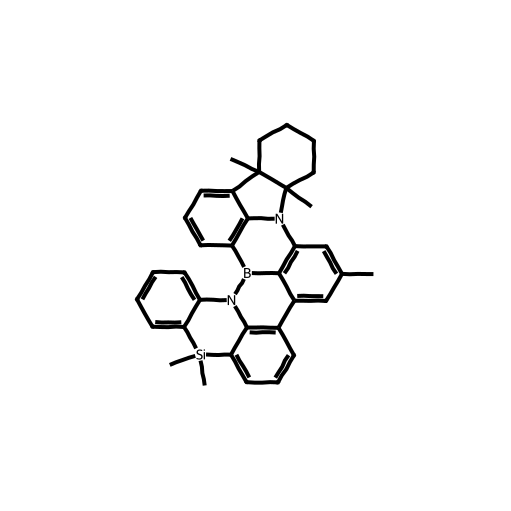 Cc1cc2c3c(c1)N1c4c(cccc4C4(C)CCCCC14C)B3N1c3ccccc3[Si](C)(C)c3cccc-2c31